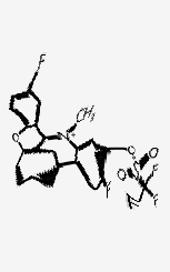 C[n+]1c2c3c(cccc3c3cc(F)c(OS(=O)(=O)C(F)(F)F)cc31)Oc1ccc(F)cc1-2